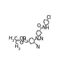 CC(C)(C)OC(=O)Cc1ccc(-n2cnc3cc(C(=O)Nc4ccc(Cl)cc4)ccc32)c(C#N)c1